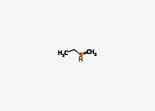 C=[SH]CC